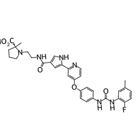 Cc1ccc(F)c(NC(=O)Nc2ccc(Oc3ccnc(-c4cc(C(=O)NCCN5CCC[C@@]5(C)C(=O)O)c[nH]4)c3)cc2)c1